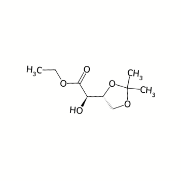 CCOC(=O)[C@H](O)[C@H]1COC(C)(C)O1